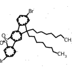 CCCCCCCCC1(CCCCCCCC)c2cc(Br)ccc2-c2cc3c(cc21)-c1[c]cc(Br)cc1S3(=O)=O